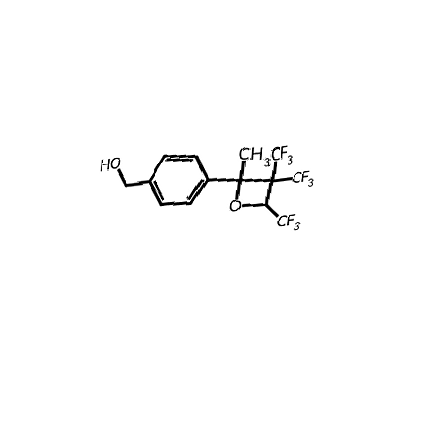 CC1(c2ccc(CO)cc2)OC(C(F)(F)F)C1(C(F)(F)F)C(F)(F)F